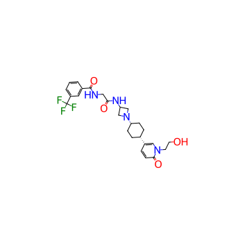 O=C(CNC(=O)c1cccc(C(F)(F)F)c1)NC1CN([C@H]2CC[C@@H](c3ccc(=O)n(CCO)c3)CC2)C1